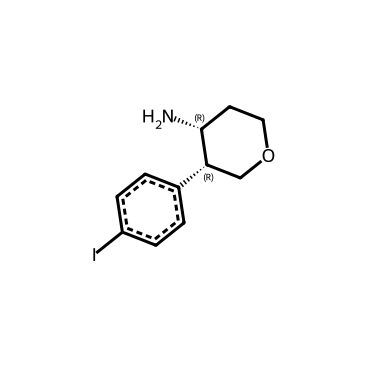 N[C@@H]1CCOC[C@@H]1c1ccc(I)cc1